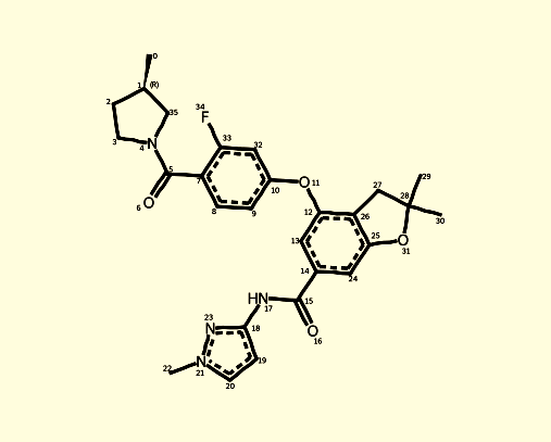 C[C@@H]1CCN(C(=O)c2ccc(Oc3cc(C(=O)Nc4ccn(C)n4)cc4c3CC(C)(C)O4)cc2F)C1